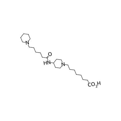 O=C(O)CCCCCCCN1CCC(NC(=O)CCCCCN2CCCCC2)CC1